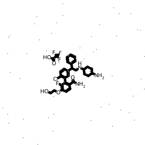 NC(=O)c1ccc(OCCO)c(F)c1-c1cc(C(CNC2CCC(N)CC2)c2ccccc2)ccc1Cl.O=C(O)C(F)(F)F